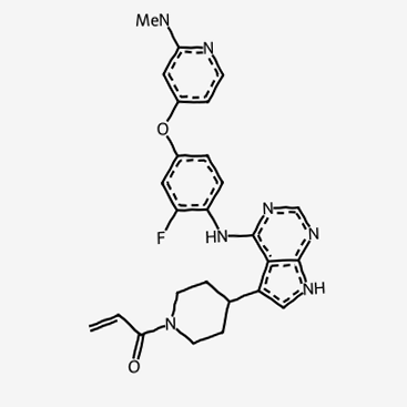 C=CC(=O)N1CCC(c2c[nH]c3ncnc(Nc4ccc(Oc5ccnc(NC)c5)cc4F)c23)CC1